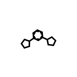 [c]1cc(C2CCCC2)cc(C2CCCC2)c1